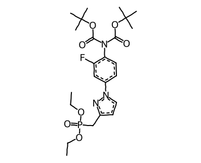 CCOP(=O)(Cc1ccn(-c2ccc(N(C(=O)OC(C)(C)C)C(=O)OC(C)(C)C)c(F)c2)n1)OCC